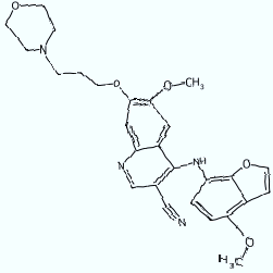 COc1cc2c(Nc3ccc(OC)c4ccoc34)c(C#N)cnc2cc1OCCCN1CCOCC1